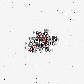 CC(C)C[C@H](NC(=O)[C@H](Cc1c[nH]cn1)NC(=O)[C@@H](NC(=O)[C@H](C)N)C(C)C)C(=O)N[C@@H](CS)C(=O)NCC(=O)N[C@@H](Cc1ccccc1)C(=O)N[C@@H](CC(=O)O)C(=O)N[C@@H](CCC(=O)O)C(=O)N[C@@H](CO)C(=O)N[C@H](C(=O)N[C@@H](CCCCN)C(=O)N[C@@H](CCCNC(=N)N)C(=O)N[C@@H](Cc1ccc(O)cc1)C(=O)N1CCC[C@H]1C(=O)O)[C@@H](C)O